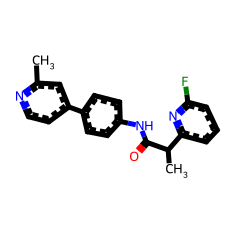 Cc1cc(-c2ccc(NC(=O)C(C)c3cccc(F)n3)cc2)ccn1